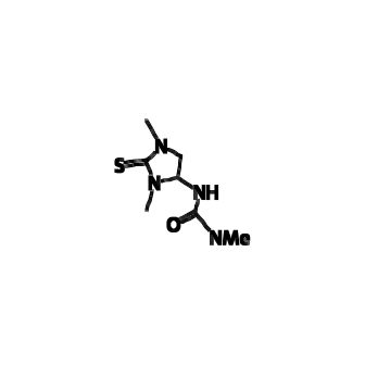 CNC(=O)NC1CN(C)C(=S)N1C